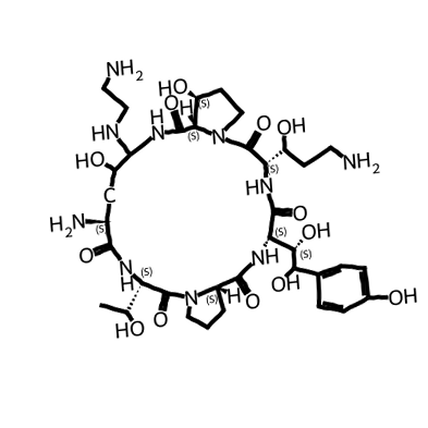 CC(O)[C@@H]1NC(=O)[C@@H](N)CC(O)C(NCCN)NC(=O)[C@@H]2[C@@H](O)CCN2C(=O)[C@H](C(O)CCN)NC(=O)[C@H]([C@H](O)C(O)c2ccc(O)cc2)NC(=O)[C@@H]2CCCN2C1=O